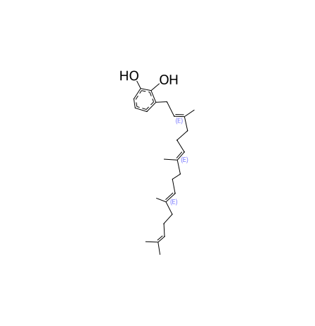 CC(C)=CCC/C(C)=C/CC/C(C)=C/CC/C(C)=C/Cc1cccc(O)c1O